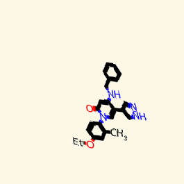 CCOc1ccc(-n2cc(-c3cn[nH]c3)c(NCc3ccccc3)cc2=O)c(C)c1